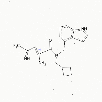 N=C(/C=C(\N)C(=O)N(Cc1cccc2[nH]ccc12)CC1CCC1)C(F)(F)F